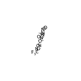 Cc1cc(-c2ccc3nc(C(F)(F)F)ccc3n2)ccc1N1CCn2nc(CN3CCOCC3)c(C)c2C1=O